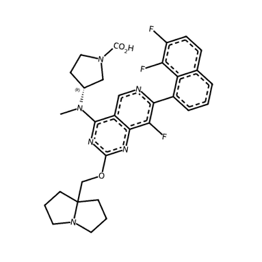 CN(c1nc(OCC23CCCN2CCC3)nc2c(F)c(-c3cccc4ccc(F)c(F)c34)ncc12)[C@@H]1CCN(C(=O)O)C1